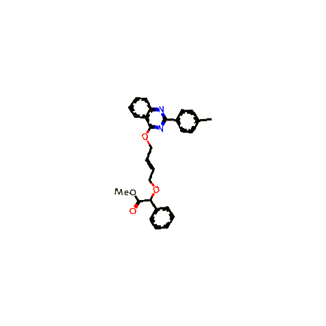 COC(=O)C(OC/C=C/COc1nc(-c2ccc(C)cc2)nc2ccccc12)c1ccccc1